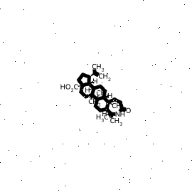 C=C(C)[C@@H]1CC[C@]2(C(=O)O)CC[C@]3(C)[C@H](CC[C@@H]4[C@@]5(C)CCC(=O)NC(C)(C)[C@@H]5CC[C@]43C)[C@@H]12